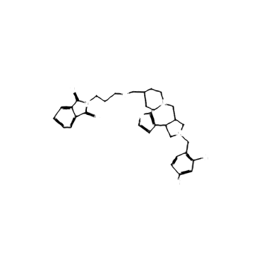 O=C1c2ccccc2C(=O)N1CCCOCC1CCN(CC2CN(Cc3ccc(Cl)cc3Cl)CC2c2ccsc2)CC1